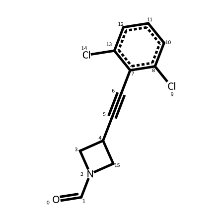 O=CN1CC(C#Cc2c(Cl)cccc2Cl)C1